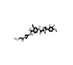 CCc1cc(NC(=O)c2ncc(-c3ccc(OC)c(F)c3F)n2C)ccc1C(=O)NC1CN(C(=O)CN)C1